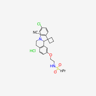 CCCS(=O)(=O)NCCOc1ccc2c(c1)C(C1(c3ccc(Cl)cc3)CCC1)N(CC#N)CC2.Cl